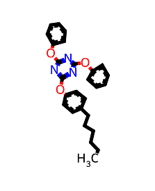 CCCCCCc1ccc(Oc2nc(Oc3ccccc3)nc(Oc3ccccc3)n2)cc1